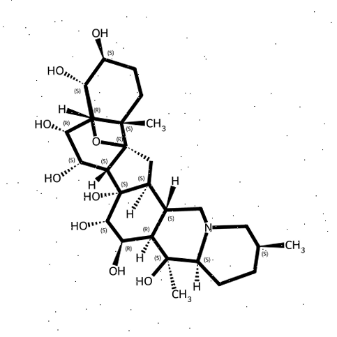 C[C@H]1CC[C@@H]2N(C1)C[C@@H]1[C@H]([C@@H](O)[C@H](O)[C@]3(O)[C@H]1C[C@@]14O[C@@]5(O)[C@@H]([C@@H](O)[C@@H](O)[C@@H]31)[C@]4(C)CC[C@@H]5O)[C@]2(C)O